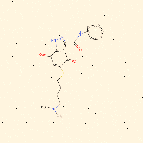 CN(C)CCCCSC1=CC(=O)c2[nH]nc(C(=O)Nc3ccccc3)c2C1=O